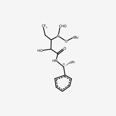 CCC[C@@H](NC(=O)C(O)C(CC(F)(F)F)N(C=O)OC(C)(C)C)c1ccccc1